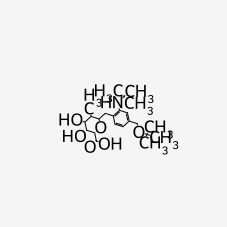 CC1C(Cc2ccc(COC(C)(C)C)cc2NC(C)(C)C)OC(C(=O)O)C(O)C1O